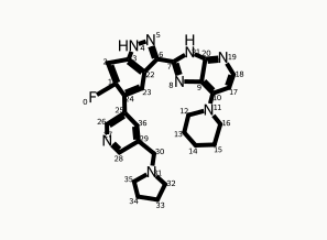 Fc1cc2[nH]nc(-c3nc4c(N5CCCCC5)ccnc4[nH]3)c2cc1-c1cncc(CN2CCCC2)c1